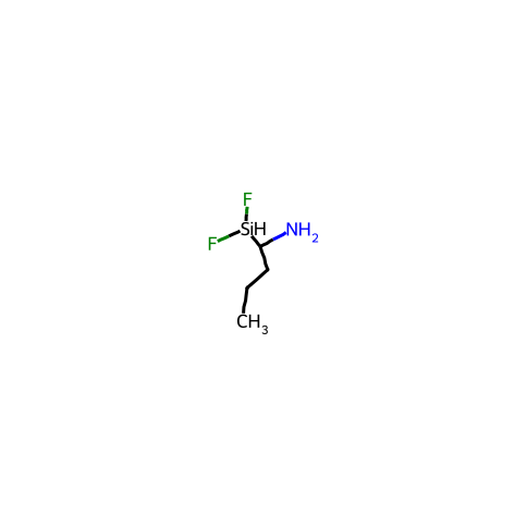 CCCC(N)[SiH](F)F